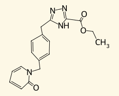 CCOC(=O)c1nnc(Cc2ccc(Cn3ccccc3=O)cc2)[nH]1